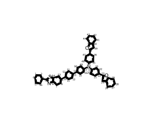 c1ccc(-c2nc3ccc(-c4ccc(-c5ccc(N(c6ccc(-c7cc8ccccc8o7)cc6)c6ccc(-c7cc8ccccc8o7)cc6)cc5)cc4)cc3s2)cc1